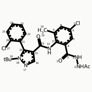 CC(=O)NNC(=O)c1cc(Cl)cc(C)c1NC(=O)c1cnn(C(C)(C)C)c1-c1ccccc1Cl